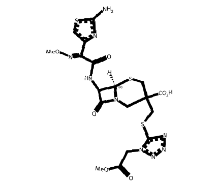 CON=C(C(=O)NC1C(=O)N2CC(CSc3nnnn3CC(=O)OC)(C(=O)O)CS[C@H]12)c1csc(N)n1